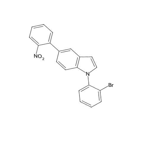 O=[N+]([O-])c1ccccc1-c1ccc2c(ccn2-c2ccccc2Br)c1